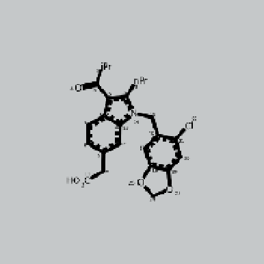 CCCc1c(C(=O)C(C)C)c2ccc(CC(=O)O)cc2n1Cc1cc2c(cc1Cl)OCO2